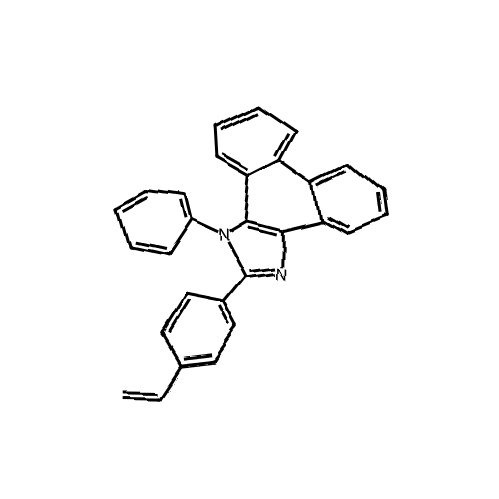 C=Cc1ccc(-c2nc3c4ccccc4c4ccccc4c3n2-c2ccccc2)cc1